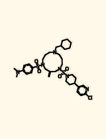 C=C1CN(S(=O)(=O)c2ccc(N(C)C)cc2)CCCN(CC2CCCCC2)CCCN(S(=O)(=O)N2CCC(c3ccc(Cl)nc3)CC2)C1